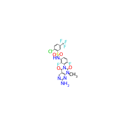 Cn1c(=O)n(-c2c(F)ccc(NS(=O)(=O)c3cc(C(F)(F)F)ccc3Cl)c2F)c(=O)c2cnc(N)nc21